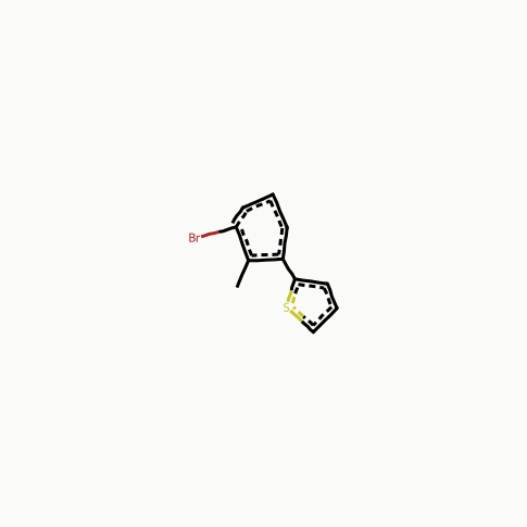 Cc1c(Br)cccc1-c1cccs1